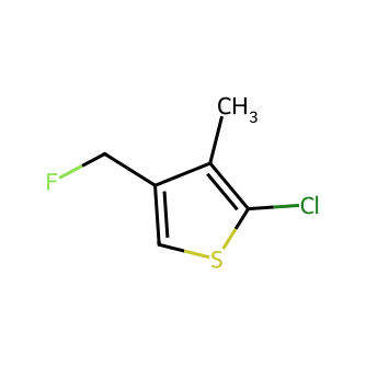 Cc1c(CF)csc1Cl